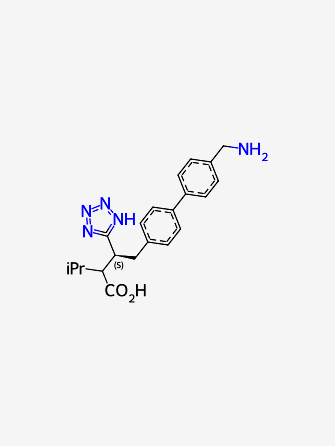 CC(C)C(C(=O)O)[C@H](Cc1ccc(-c2ccc(CN)cc2)cc1)c1nnn[nH]1